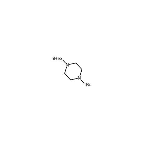 CCCCCCN1CCN(C(C)(C)C)CC1